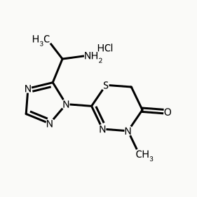 CC(N)c1ncnn1C1=NN(C)C(=O)CS1.Cl